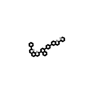 c1ccc(-c2ccc3ccc4ccc(-c5ccc(-c6ccc(-c7ccc8nc(-c9ccccn9)ccc8c7)cc6)c6ccccc56)nc4c3n2)cc1